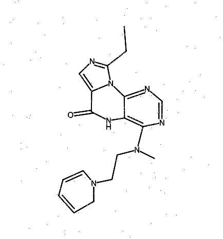 CCc1ncc2c(=O)[nH]c3c(N(C)CCN4C=CC=CC4)ncnc3n12